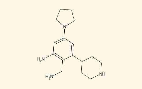 NCc1c(N)cc(N2CCCC2)cc1C1CCNCC1